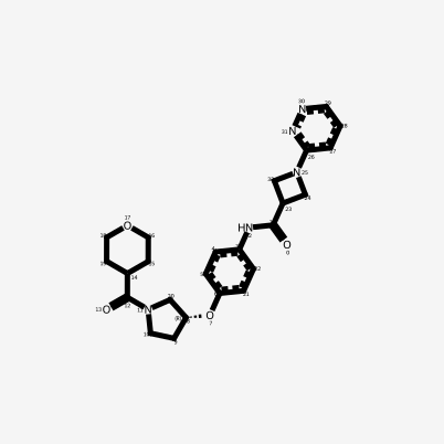 O=C(Nc1ccc(O[C@@H]2CCN(C(=O)C3CCOCC3)C2)cc1)C1CN(c2cccnn2)C1